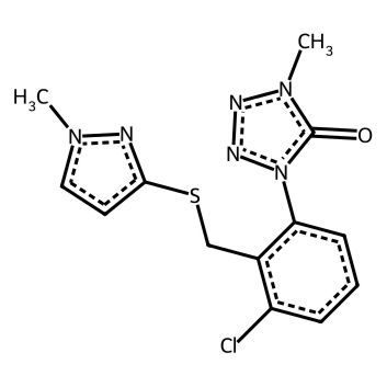 Cn1ccc(SCc2c(Cl)cccc2-n2nnn(C)c2=O)n1